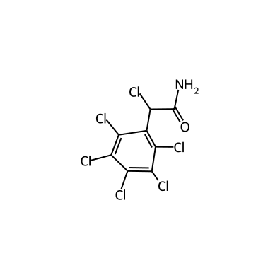 NC(=O)C(Cl)c1c(Cl)c(Cl)c(Cl)c(Cl)c1Cl